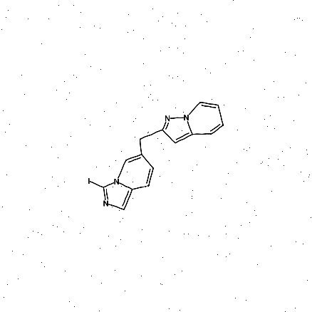 Ic1ncc2ccc(Cc3cc4ccccn4n3)cn12